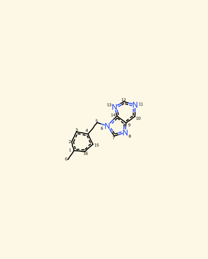 Cc1ccc(Cn2cnc3cncnc32)cc1